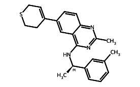 Cc1cccc([C@@H](C)Nc2nc(C)nc3ccc(C4=CCSCC4)cc23)c1